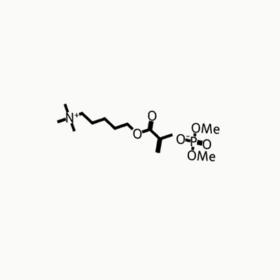 C=C(C)C(=O)OCCCCC[N+](C)(C)C.COP(=O)([O-])OC